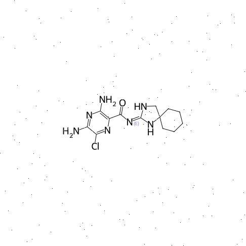 Nc1nc(N)c(C(=O)/N=C2\NCC3(CCCCC3)N2)nc1Cl